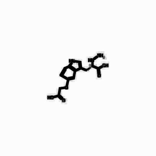 NN[C@@H](Cc1c[nH]c2ccc(OCC(=O)O)cc12)C(=O)O